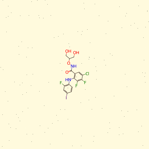 O=C(NOC(CO)CO)c1cc(Cl)c(F)c(F)c1Nc1ccc(I)cc1F